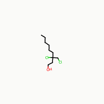 CCCCCCC(Cl)(CCl)CCO